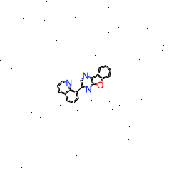 c1cnc2c(-c3cnc4c(n3)oc3ccccc34)cccc2c1